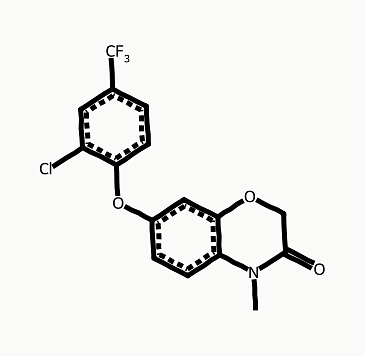 CN1C(=O)COc2cc(Oc3ccc(C(F)(F)F)cc3Cl)ccc21